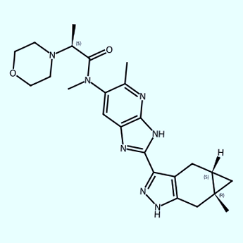 Cc1nc2[nH]c(-c3n[nH]c4c3C[C@@H]3C[C@]3(C)C4)nc2cc1N(C)C(=O)[C@H](C)N1CCOCC1